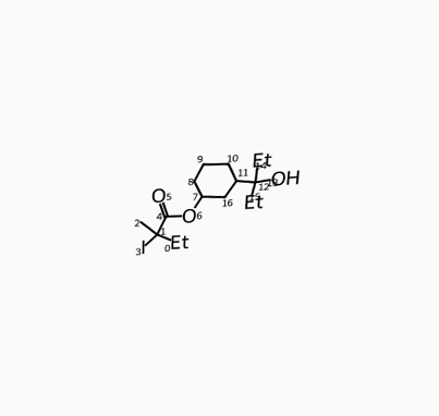 CCC(C)(I)C(=O)OC1CCCC(C(O)(CC)CC)C1